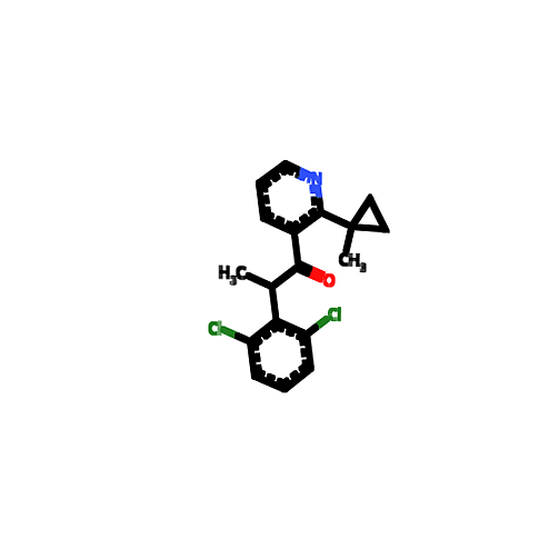 CC(C(=O)c1cccnc1C1(C)CC1)c1c(Cl)cccc1Cl